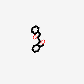 [c]1oc(-c2cc3ccccc3o2)c2ccccc12